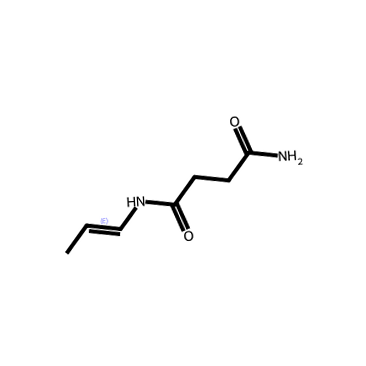 C/C=C/NC(=O)CCC(N)=O